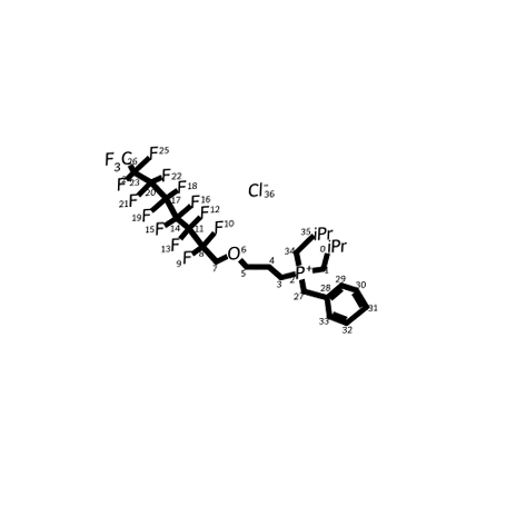 CC(C)C[P+](CCCOCC(F)(F)C(F)(F)C(F)(F)C(F)(F)C(F)(F)C(F)(F)C(F)(F)F)(Cc1ccccc1)CC(C)C.[Cl-]